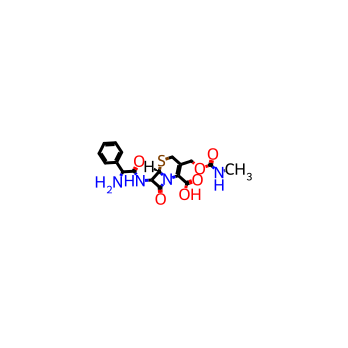 CNC(=O)OCC1=C(C(=O)O)N2C(=O)C(NC(=O)C(N)c3ccccc3)[C@@H]2SC1